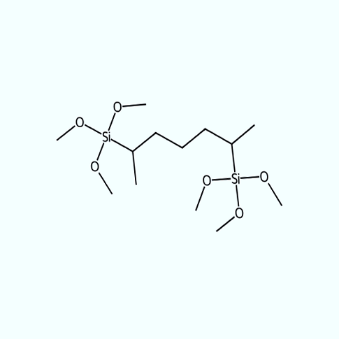 CO[Si](OC)(OC)C(C)CCCC(C)[Si](OC)(OC)OC